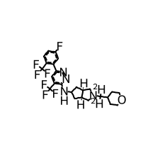 [2H]C([2H])(C1CCOCC1)N1C[C@H]2CC(Nc3nnc(-c4cc(F)ccc4C(F)(F)F)cc3C(F)(F)F)C[C@H]2C1